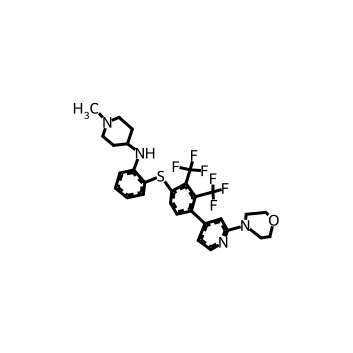 CN1CCC(Nc2ccccc2Sc2ccc(-c3ccnc(N4CCOCC4)c3)c(C(F)(F)F)c2C(F)(F)F)CC1